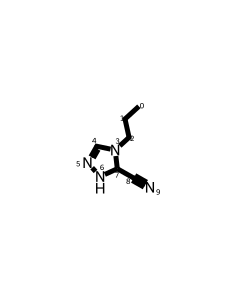 CCCN1C=NNC1C#N